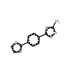 FC(F)(F)c1nc(-c2ccc(-c3ncco3)cc2)no1